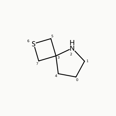 C1CNC2(C1)CSC2